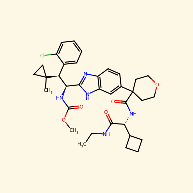 CCNC(=O)[C@H](NC(=O)C1(c2ccc3nc([C@@H](NC(=O)OC)[C@H](c4ccccc4Cl)C4(C)CC4)[nH]c3c2)CCOCC1)C1CCC1